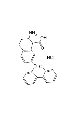 Cl.NC1CCc2ccc(Oc3ccccc3-c3ccccc3Cl)cc2C1C(=O)O